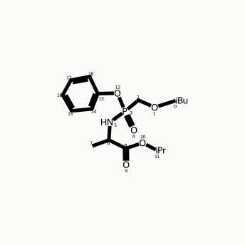 CCC(C)OCP(=O)(NC(C)C(=O)OC(C)C)Oc1ccccc1